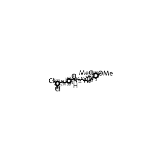 COc1ccc(N2CCN(CCCCNC(=O)c3ccc(C=Cc4cc(Cl)cc(Cl)c4)cc3)CC2)c(OC)c1